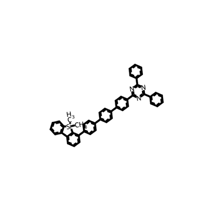 C[Si]1(C)c2ccccc2-c2cccc(-c3ccc(-c4ccc(-c5ccc(-c6nc(-c7ccccc7)nc(-c7ccccc7)n6)cc5)cc4)cc3)c21